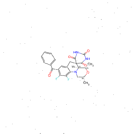 C[C@@H]1CN2c3c(cc(C(=O)c4ccccc4)c(F)c3F)CC3(C(=O)NC(=O)NC3=O)[C@H]2[C@H](C)O1